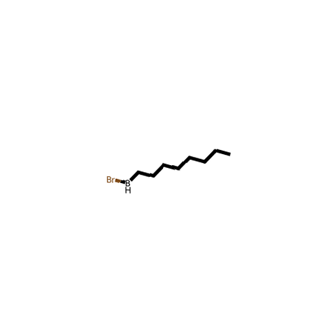 CCCCCCCCBBr